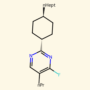 CCCCCCC[C@H]1CC[C@H](c2ncc(CCC)c(F)n2)CC1